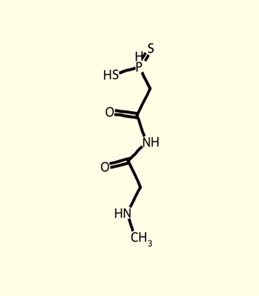 CNCC(=O)NC(=O)C[PH](=S)S